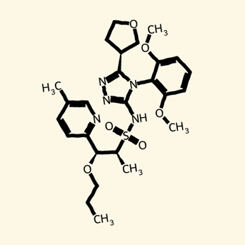 CCCO[C@@H](c1ccc(C)cn1)[C@H](C)S(=O)(=O)Nc1nnc([C@H]2CCOC2)n1-c1c(OC)cccc1OC